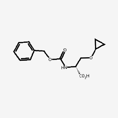 O=C(N[C@H](COC1CC1)C(=O)O)OCc1ccccc1